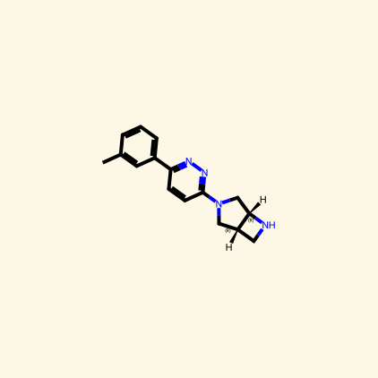 Cc1cccc(-c2ccc(N3C[C@H]4CN[C@H]4C3)nn2)c1